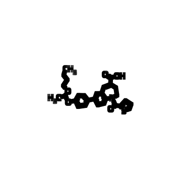 CCCCOC(C)Oc1ccc(-c2ccc3c(c2)C=C(C(=O)O)CCN3C(=O)c2cccs2)cc1